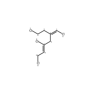 ClC=C(CCCl)CC(Cl)=CCCl